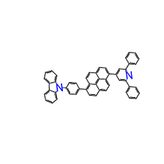 c1ccc(-c2cc(-c3ccc4ccc5c(-c6ccc(-n7c8ccccc8c8ccccc87)cc6)ccc6ccc3c4c65)cc(-c3ccccc3)n2)cc1